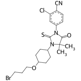 CC1(C)C(=O)N(c2ccc(C#N)c(Cl)c2)C(=S)N1C1CCC(OCCCBr)CC1